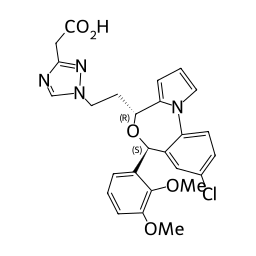 COc1cccc([C@H]2O[C@H](CCn3cnc(CC(=O)O)n3)c3cccn3-c3ccc(Cl)cc32)c1OC